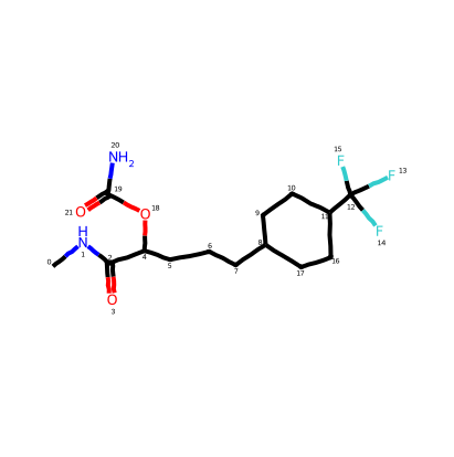 CNC(=O)C(CCCC1CCC(C(F)(F)F)CC1)OC(N)=O